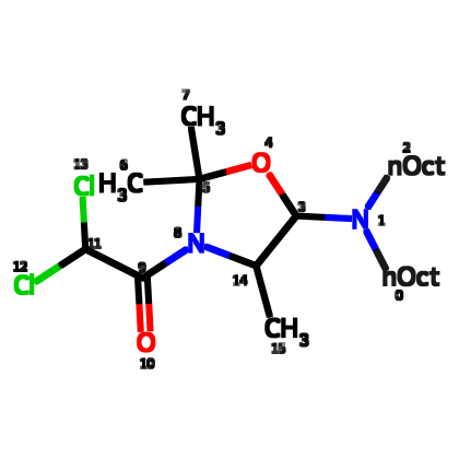 CCCCCCCCN(CCCCCCCC)C1OC(C)(C)N(C(=O)C(Cl)Cl)C1C